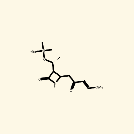 COC=CC(=O)CC1NC(=O)C1[C@@H](C)O[Si](C)(C)C(C)(C)C